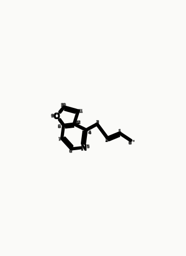 [CH2]C=CCc1nccc2occc12